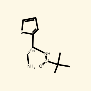 CC(C)(C)[S+]([O-])N[C@H](CN)c1cccs1